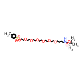 Cc1ccc(S(=O)(=O)OCCOCCOCCOCCOCCOCCOCCCCNC(=O)OC(C)(C)C)cc1